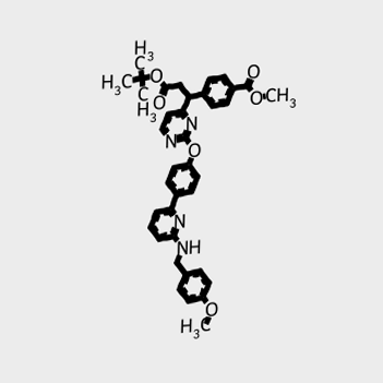 COC(=O)c1ccc(C(CC(=O)OC(C)(C)C)c2ccnc(Oc3ccc(-c4cccc(NCc5ccc(OC)cc5)n4)cc3)n2)cc1